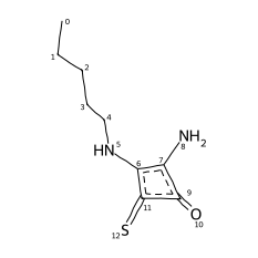 CCCCCNc1c(N)c(=O)c1=S